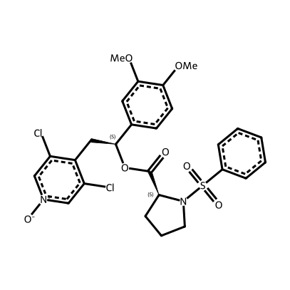 COc1ccc([C@H](Cc2c(Cl)c[n+]([O-])cc2Cl)OC(=O)[C@@H]2CCCN2S(=O)(=O)c2ccccc2)cc1OC